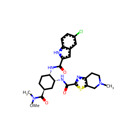 CON(C)C(=O)[C@H]1CC[C@H](NC(=O)c2cc3cc(Cl)ccc3[nH]2)[C@H](NC(=O)c2nc3c(s2)CN(C)CC3)C1